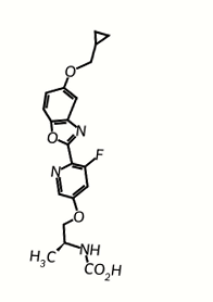 C[C@@H](COc1cnc(-c2nc3cc(OCC4CC4)ccc3o2)c(F)c1)NC(=O)O